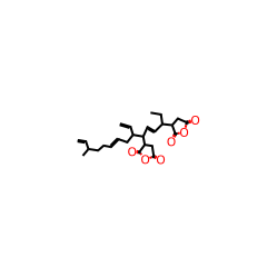 C=CC(C)CC/C=C/CC(C=C)C(/C=C/C(CC)C1CC(=O)OC1=O)C1CC(=O)OC1=O